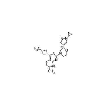 Cc1ccc2c(n1)nc(N1CCO[C@@H](c3cnn(C4CC4)c3)C1)nc2[C@H]1C[C@H](C(F)(F)F)C1